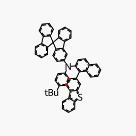 CC(C)(C)c1ccc(N(c2ccc3c(c2)-c2ccccc2C32c3ccccc3-c3ccccc32)c2ccc3ccccc3c2-c2ccc3c(c2)sc2ccccc23)cc1